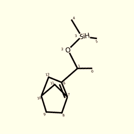 CC(O[SiH](C)C)C1=C2CCC(C2)C1